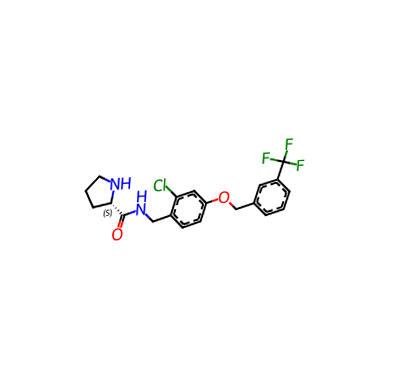 O=C(NCc1ccc(OCc2cccc(C(F)(F)F)c2)cc1Cl)[C@@H]1CCCN1